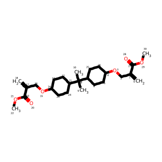 C=C(COC1CCC(C(C)(C)C2CCC(OCC(=C)C(=O)OC)CC2)CC1)C(=O)OC